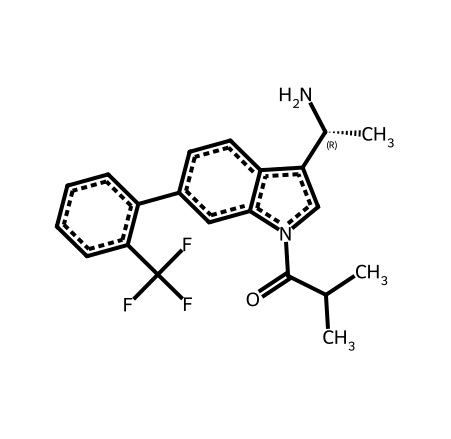 CC(C)C(=O)n1cc([C@@H](C)N)c2ccc(-c3ccccc3C(F)(F)F)cc21